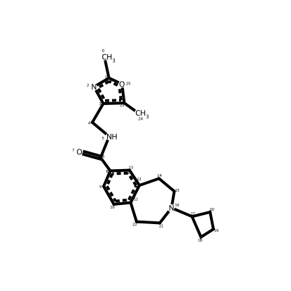 Cc1nc(CNC(=O)c2ccc3c(c2)CCN(C2CCC2)CC3)c(C)o1